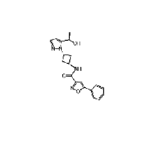 C[C@@H](O)c1ccnn1[C@H]1C[C@H](NC(=O)c2cc(-c3ccccc3)on2)C1